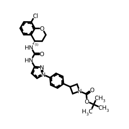 CC(C)(C)OC(=O)N1CC(c2ccc(-n3ccc(NC(=O)N[C@H]4CCOc5c(Cl)cccc54)n3)cc2)C1